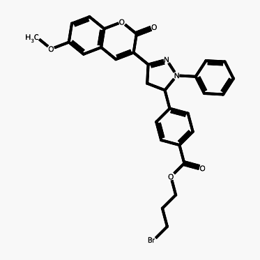 COc1ccc2oc(=O)c(C3=NN(c4ccccc4)C(c4ccc(C(=O)OCCCBr)cc4)C3)cc2c1